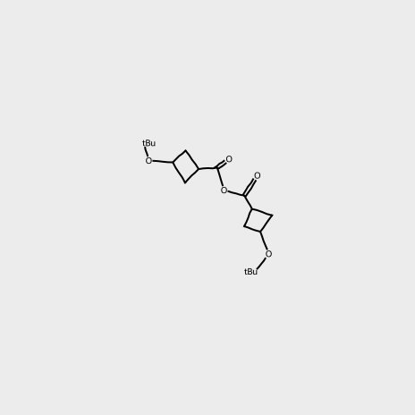 CC(C)(C)OC1CC(C(=O)OC(=O)C2CC(OC(C)(C)C)C2)C1